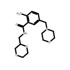 Cc1ccc(CN2CCOCC2)cc1C(=O)NCC1COCCO1